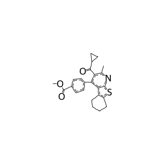 COC(=O)c1ccc(-c2c(C(=O)C3CC3)c(C)nc3sc4c(c23)CCCC4)cc1